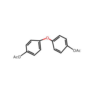 CC(=O)Oc1ccc(Oc2ccc(OC(C)=O)cc2)cc1